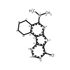 CN(C)c1nc2sc3c(Cl)nnnc3c2c2c1CCCC2